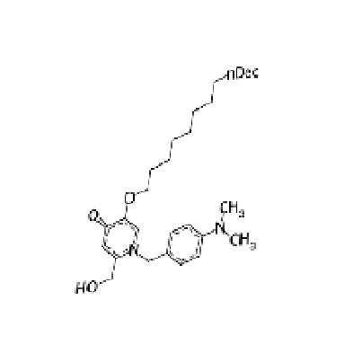 CCCCCCCCCCCCCCCCCCOc1cn(Cc2ccc(N(C)C)cc2)c(CO)cc1=O